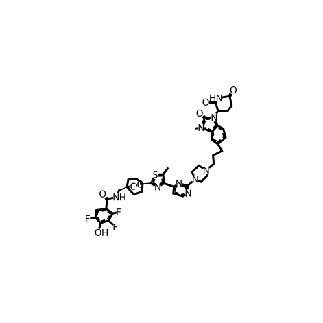 Cc1sc([C@]23CC[C@](CNC(=O)c4cc(F)c(O)c(F)c4F)(CC2)CC3)nc1-c1ccnc(N2CCN(CCCc3ccc4c(c3)n(C)c(=O)n4C3CCC(=O)NC3=O)CC2)n1